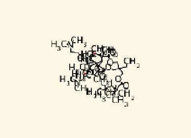 CCC(COC(=O)C(C)(CC(C)C)CC(C)(C(=O)OCCN(C)C)C(C)C)(COC(=O)C(C)(CC(C)(C)C)C(C)C)COC(=O)C(C)(CC(C)(COCCN(C)C)CC(C)C)C(C)C